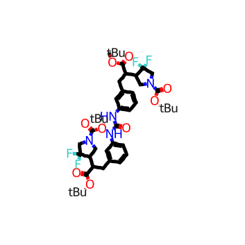 CC(C)(C)OC(=O)C(Cc1cccc(NC(=O)Nc2cccc(CC(C(=O)OC(C)(C)C)C3CN(C(=O)OC(C)(C)C)CC3(F)F)c2)c1)C1CN(C(=O)OC(C)(C)C)CC1(F)F